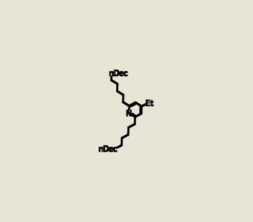 [CH2]Cc1cc(CCCCCCCCCCCCCCC)nc(CCCCCCCCCCCCCCC)c1